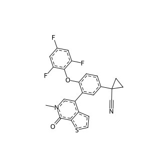 Cn1cc(-c2cc(C3(C#N)CC3)ccc2Oc2c(F)cc(F)cc2F)c2ccsc2c1=O